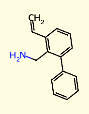 C=Cc1cccc(-c2ccccc2)c1CN